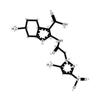 Cc1cc([N+](=O)[O-])nn1CC(=O)Nc1sc2c(c1C(=O)O)CCC(C)C2